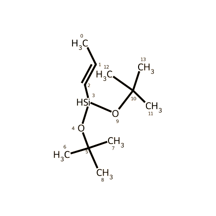 CC=C[SiH](OC(C)(C)C)OC(C)(C)C